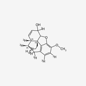 [2H]c1c([2H])c2c3c(c1OC)OC1C([2H])(O)C=C[C@]4([2H])[C@@]31CCN(C)[C@]4([2H])C2([2H])[2H]